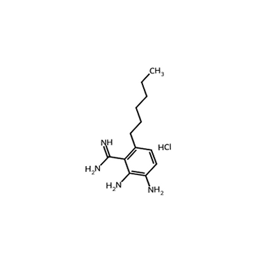 CCCCCCc1ccc(N)c(N)c1C(=N)N.Cl